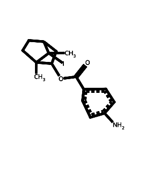 CC1(I)C2CCC1(C)C(OC(=O)c1ccc(N)cc1)C2